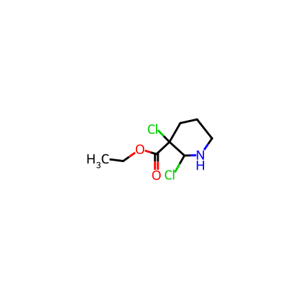 CCOC(=O)C1(Cl)CCCNC1Cl